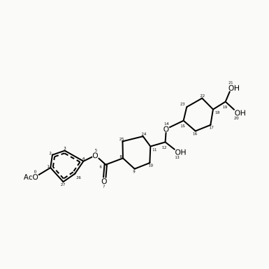 CC(=O)Oc1ccc(OC(=O)C2CCC(C(O)OC3CCC(C(O)O)CC3)CC2)cc1